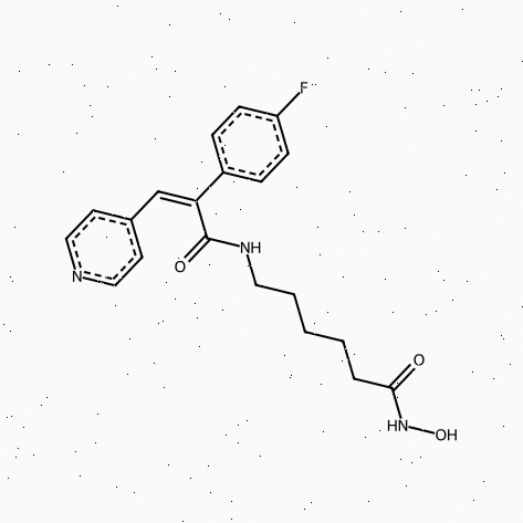 O=C(CCCCCNC(=O)C(=Cc1ccncc1)c1ccc(F)cc1)NO